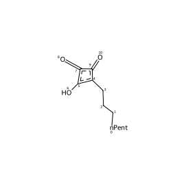 CCCCCCCCc1c(O)c(=O)c1=O